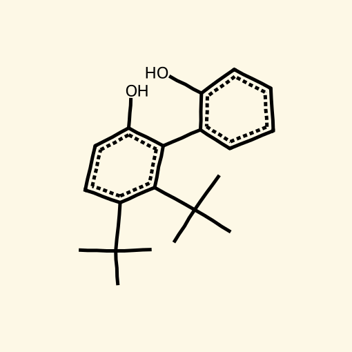 CC(C)(C)c1ccc(O)c(-c2ccccc2O)c1C(C)(C)C